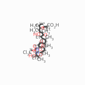 CC[C@@H](C(=O)[C@@H](C)[C@@H](O)[C@H](C)[C@@H]1O[C@@H]([C@@H](CC)C(=O)O)CC[C@@H]1C)[C@H]1O[C@]2(C=C[C@@H](NC(=O)OCC(Cl)(Cl)Cl)[C@]3(CC[C@@](C)([C@H]4CC[C@](O)(CC)[C@H](C)O4)O3)O2)[C@H](C)C[C@@H]1C